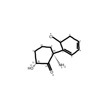 N[C@@]1(C2=CC=CCC2Cl)CCC[C@@H](O)C1=O